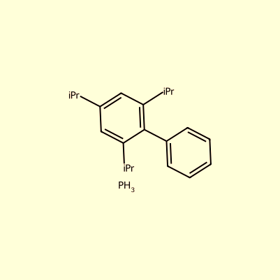 CC(C)c1cc(C(C)C)c(-c2ccccc2)c(C(C)C)c1.P